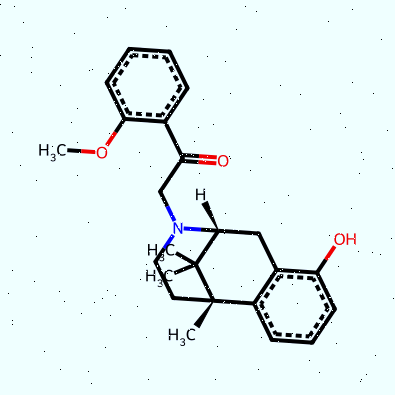 COc1ccccc1C(=O)CN1CC[C@@]2(C)c3cccc(O)c3C[C@@H]1C2(C)C